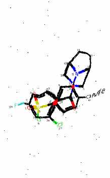 COc1ccc(S(=O)(=O)Cl)cc1N1C2CCC1CN(C(=O)c1ccc(F)cc1Cl)C2